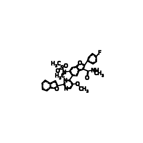 CNC(=O)c1c(-c2ccc(F)cc2)oc2cc(N(C)S(C)(=O)=O)c(-c3nc(-c4cc5ccccc5o4)ncc3OC)cc12